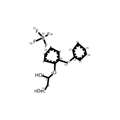 CCCCCCCCCCCC(O)Oc1ccccc1[I+]c1ccccc1.F[B-](F)(F)F